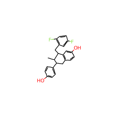 CC1C(c2ccc(O)cc2)Cc2ccc(O)cc2C1Cc1cc(F)ccc1F